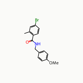 COc1ccc(CNC(=O)c2ccc(Br)cc2C)cc1